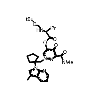 CNC(=O)c1nn(CC2(n3cc(C)c4cccnc43)CCCC2)cc(OC(=O)C(NCOC(C)(C)C)C(C)C)c1=O